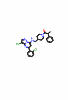 CC(C(=O)N1CCC(CNc2cc(-c3ccccc3Cl)nc3c(Br)cnn23)CC1)c1ccccc1